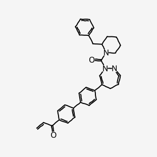 C=CC(=O)c1ccc(-c2ccc(C3=CN(C(=O)N4CCCCC4Cc4ccccc4)N=C=CC3)cc2)cc1